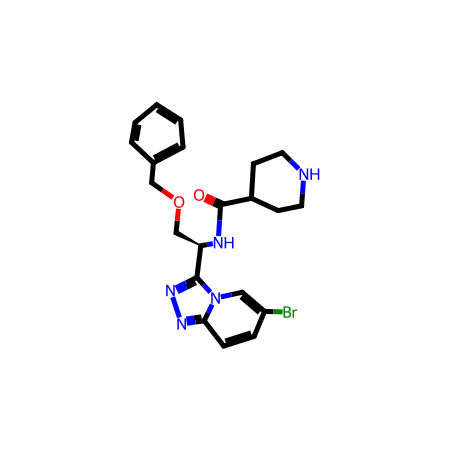 O=C(N[C@H](COCc1ccccc1)c1nnc2ccc(Br)cn12)C1CCNCC1